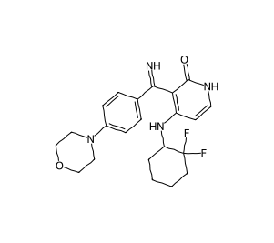 N=C(c1ccc(N2CCOCC2)cc1)c1c(NC2CCCCC2(F)F)cc[nH]c1=O